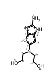 Nc1nc2oc(N(CCO)CCO)cc2[nH]1